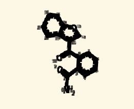 NC(=O)c1ccccc1C(=O)c1coc2ccccc12